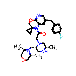 C[C@@H]1CN(CC(=O)N2c3cc(Cc4ccc(F)cc4)cnc3OCC23CC3)[C@@H](CN2[C@H](C)COC[C@H]2C)CN1